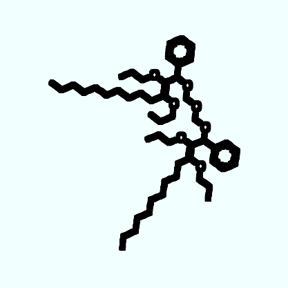 CCCCCCCCCCC(OCCC)=C(OCCC)C(OCOCOC(C(OCCC)=C(CCCCCCCCCC)OCCC)c1ccccc1)c1ccccc1